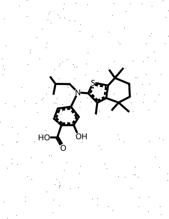 Cc1c(N(CC(C)C)c2ccc(C(=O)O)c(O)c2)sc2c1C(C)(C)CCC2(C)C